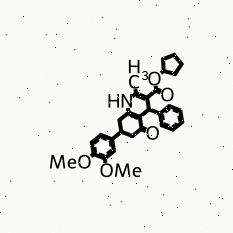 COc1ccc(C2CC(=O)C3=C(C2)NC(C)=C(C(=O)OC2CCCC2)C3c2ccccc2)cc1OC